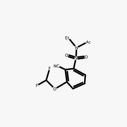 CCN(C(C)=O)S(=O)(=O)c1cccc(OC(F)F)c1C#N